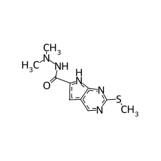 CSc1ncc2cc(C(=O)NN(C)C)[nH]c2n1